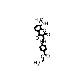 CCOC(=O)c1ccc(NC=C2C(=O)Oc3c(NC)cccc3C2=O)cc1